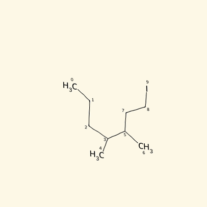 CCCC(C)C(C)CCI